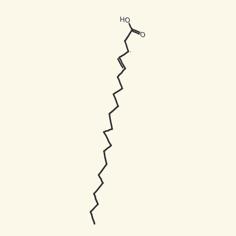 CCCCCCCCCCCCCCCCC=C[CH]CC(=O)O